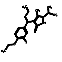 CCOc1ccc(C(OCC)c2c(C)n(C(C)C)[nH]c2=O)cc1F